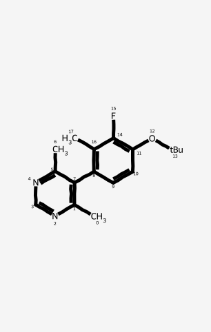 Cc1ncnc(C)c1-c1ccc(OC(C)(C)C)c(F)c1C